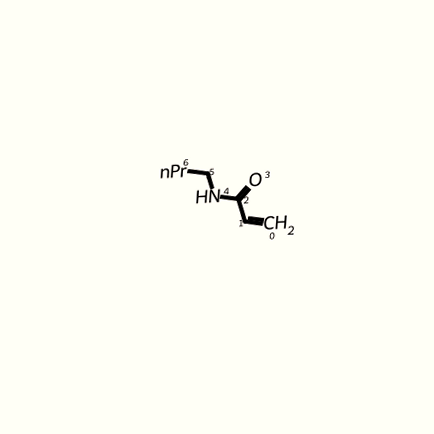 C=CC(=O)N[CH]CCC